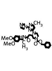 COc1ccc(C(C)NC(=O)CC2CN(C(=O)OCc3ccccc3)CCN2c2cc(C)nc(-n3ccnc3)n2)cc1OC